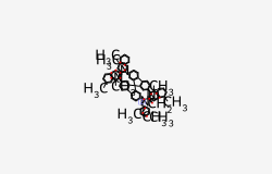 C=C(/C=C\C=C(C)C)N(c1cccc(C)c1)c1ccc2c(c1)C1(c3cc(N(c4cccc(C)c4)c4cccc(C)c4)ccc3-2)c2cc(N(c3cccc(C)c3)c3cccc(C)c3)ccc2-c2ccc(N(c3cccc(C)c3)c3cccc(C)c3)cc21